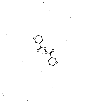 O=C(OOC(=O)C1CCCOC1)C1CCCOC1